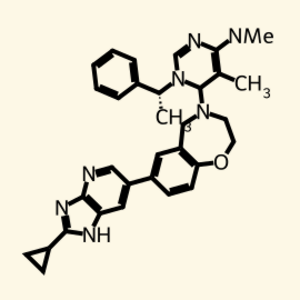 CNC1=C(C)C(N2CCOc3ccc(-c4cnc5nc(C6CC6)[nH]c5c4)cc3C2)N([C@H](C)c2ccccc2)C=N1